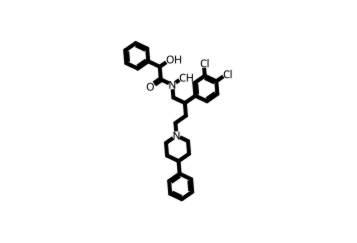 CN(CC(CCN1CCC(c2ccccc2)CC1)c1ccc(Cl)c(Cl)c1)C(=O)C(O)c1ccccc1